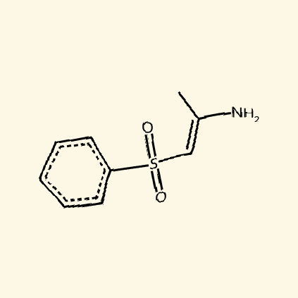 C/C(N)=C\S(=O)(=O)c1ccccc1